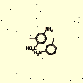 Cc1cc(N)ccc1C(=O)O.Cc1cccc(N)c1